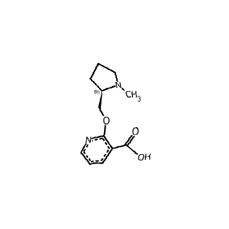 CN1CCC[C@@H]1COc1ncccc1C(=O)O